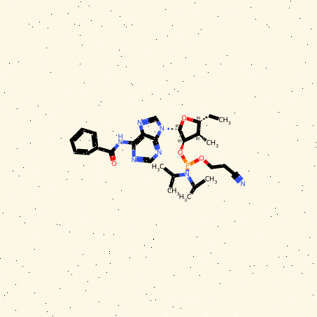 CC[C@H]1O[C@@H](n2cnc3c(NC(=O)c4ccccc4)ncnc32)[C@H](OP(OCCC#N)N(C(C)C)C(C)C)[C@@H]1C